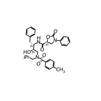 Cc1ccc(S(=O)(=O)N(CC(C)C)C[C@@H](O)[C@H](Cc2ccccc2)NC(=O)[C@@H]2CN(c3ccccc3)C(=O)O2)cc1